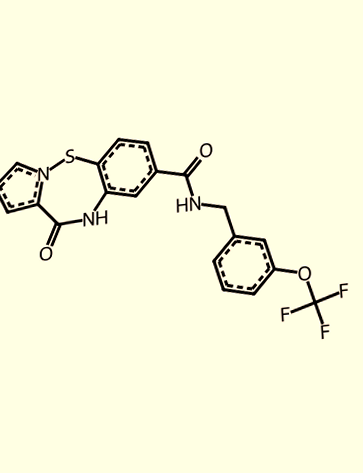 O=C(NCc1cccc(OC(F)(F)F)c1)c1ccc2c(c1)NC(=O)c1cccn1S2